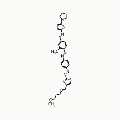 COCCCOCc1csc(/N=N/c2ccc(/N=N/c3ccc(/N=N/c4ccc(N5CCCC5)s4)cc3C)cc2)n1